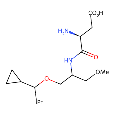 COCC(COC(C(C)C)C1CC1)NC(=O)[C@@H](N)CC(=O)O